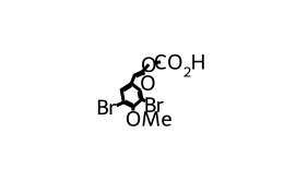 COc1c(Br)cc2cc(OC(=O)O)oc2c1Br